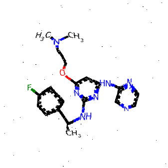 C[C@H](Nc1nc(Nc2cnccn2)cc(OCCN(C)C)n1)c1ccc(F)cc1